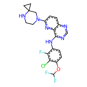 Fc1c(Nc2ncnc3ccc(N4CCNC5(CC5)C4)nc23)ccc(OC(F)F)c1Cl